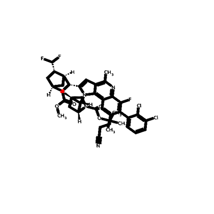 COC(=O)N1[C@@H]2C[C@@H]([C@@H](C(F)F)C2)[C@@H]1c1cc2c(C)nc3c(F)c(-c4cccc(Cl)c4Cl)c(CCC#N)cc3c2n1[C@H]1[C@@H]2C[C@H]1N(C(=O)OC(C)(C)C)C2